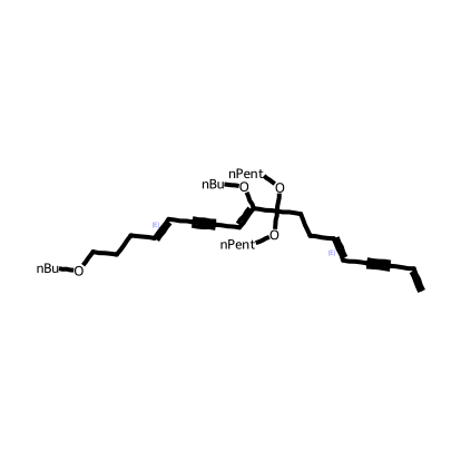 C=CC#C/C=C/CCC(OCCCCC)(OCCCCC)C(=CC#C/C=C/CCCOCCCC)OCCCC